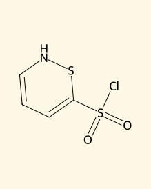 O=S(=O)(Cl)C1=CC=CNS1